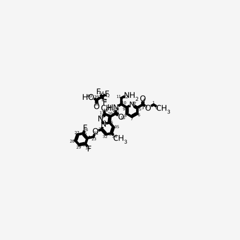 CCOC(=O)c1cccc(C(CN)NC(=O)c2c(C)nn3c(OCc4c(F)cccc4F)cc(C)cc23)n1.O=C(O)C(F)(F)F